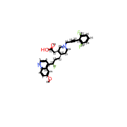 COc1ccc2nccc([C@H](F)CC[C@@H]3CCN(CC#Cc4c(F)cccc4F)C[C@@H]3CC(=O)O)c2c1